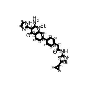 CCn1c(N)c(-c2ncc[nH]2)c(=O)c2ccc(-c3ccc(CC(=O)Nc4nnc(C5CC5)s4)cc3)nc21